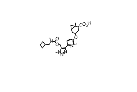 Cc1nc(-c2nnn(C)c2COC(=O)N(C)CC2CCC2)ccc1OC1CC2CC2(C)C(C(=O)O)C1